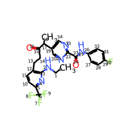 CCNc1nc(C(F)(F)F)ccc1CCC(=O)C(C)c1cnc(C(=O)Nc2ccc(F)cc2)nc1